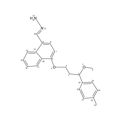 COC(CCOc1ccc(C=NN)c2ccccc12)c1ccc(C)cc1